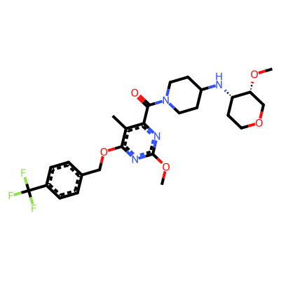 COc1nc(OCc2ccc(C(F)(F)F)cc2)c(C)c(C(=O)N2CCC(N[C@H]3CCOC[C@H]3OC)CC2)n1